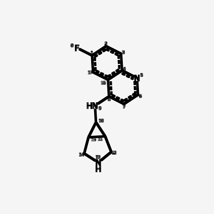 Fc1ccc2nccc(NC3C4CNCC43)c2c1